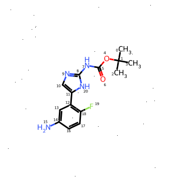 CC(C)(C)OC(=O)Nc1ncc(-c2cc(N)ccc2F)[nH]1